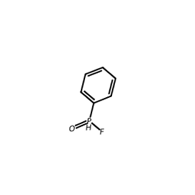 O=[PH](F)c1ccccc1